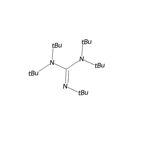 CC(C)(C)N=C(N(C(C)(C)C)C(C)(C)C)N(C(C)(C)C)C(C)(C)C